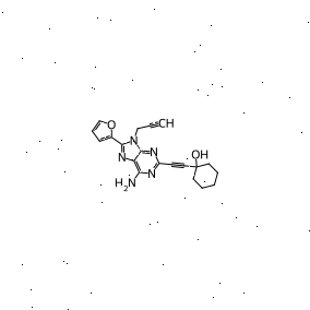 C#CCn1c(-c2ccco2)nc2c(N)nc(C#CC3(O)CCCCC3)nc21